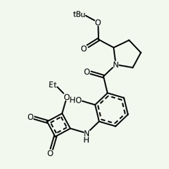 CCOc1c(Nc2cccc(C(=O)N3CCCC3C(=O)OC(C)(C)C)c2O)c(=O)c1=O